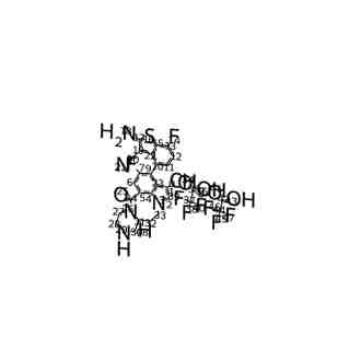 Cc1cn2c3c(cc(F)c(-c4ccc(F)c5sc(N)c(C#N)c45)c13)C(=O)N1CCNC[C@@H]1CC2.O=C(O)C(F)(F)F.O=C(O)C(F)(F)F